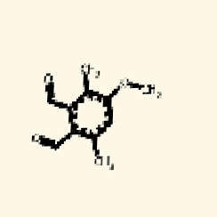 COc1cc(C)c(C=O)c(C=O)c1C